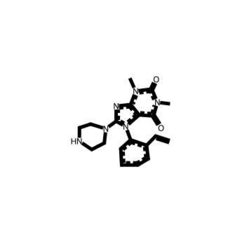 C=Cc1ccccc1-n1c(N2CCNCC2)nc2c1c(=O)n(C)c(=O)n2C